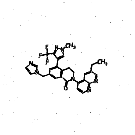 CCc1cnc2nccc(N3CCc4c(cc(Cn5ccnc5)cc4-c4cn(C)nc4C(F)(F)F)C3=O)c2c1